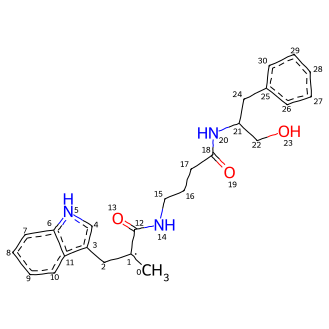 C[C](Cc1c[nH]c2ccccc12)C(=O)NCCCC(=O)NC(CO)Cc1ccccc1